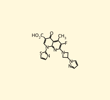 Cc1c(F)c(N2CC(n3cccn3)C2)nc2c1c(=O)c(C(=O)O)cn2-c1nccs1